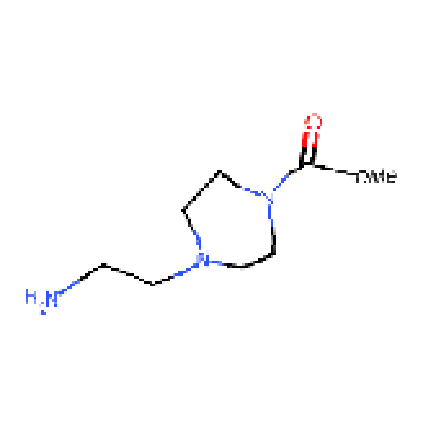 COC(=O)N1CCN(CCN)CC1